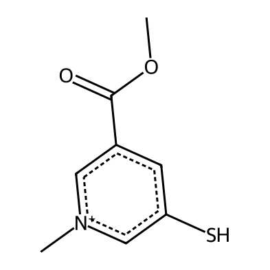 COC(=O)c1cc(S)c[n+](C)c1